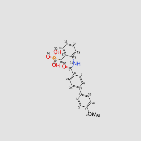 COc1ccc(-c2ccc(C(=O)Nc3ccccc3CP(=O)(O)O)cc2)cc1